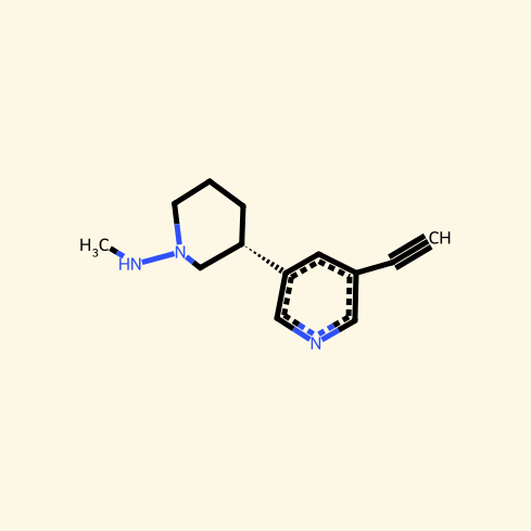 C#Cc1cncc([C@H]2CCCN(NC)C2)c1